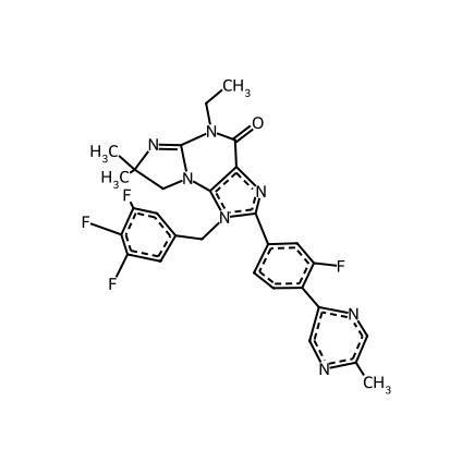 CCN1C(=O)c2nc(-c3ccc(-c4cnc(C)cn4)c(F)c3)n(Cc3cc(F)c(F)c(F)c3)c2N2CC(C)(C)N=C12